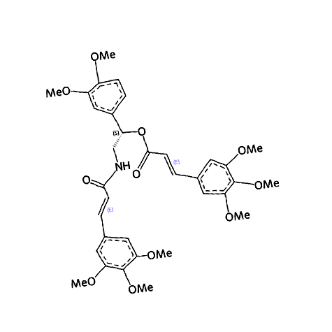 COc1ccc([C@@H](CNC(=O)/C=C/c2cc(OC)c(OC)c(OC)c2)OC(=O)/C=C/c2cc(OC)c(OC)c(OC)c2)cc1OC